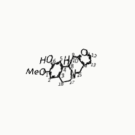 COc1cc2c(cc1O)[C@@H]1Cc3occc3CN1CC2